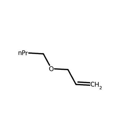 [CH2]CCCOCC=C